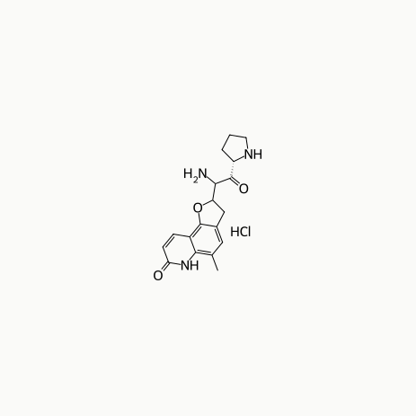 Cc1cc2c(c3ccc(=O)[nH]c13)OC(C(N)C(=O)[C@@H]1CCCN1)C2.Cl